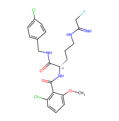 COc1cccc(Cl)c1C(=O)N[C@@H](CCCNC(=N)CF)C(=O)NCc1ccc(Cl)cc1